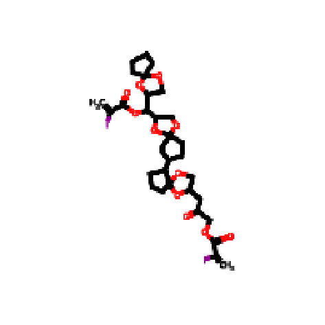 C=C(I)C(=O)OCC(=O)CC1COC2(CCCC2C2CCC3(C2)OCC(C(OC(=O)C(=C)I)C2COC4(CCCC4)O2)O3)O1